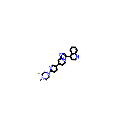 C[C@@H]1CN(c2ccc(-c3ccn4c(-c5ccnc6ccccc56)cnc4c3)cn2)C[C@H](C)N1C